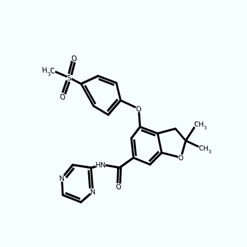 CC1(C)Cc2c(Oc3ccc(S(C)(=O)=O)cc3)cc(C(=O)Nc3cnccn3)cc2O1